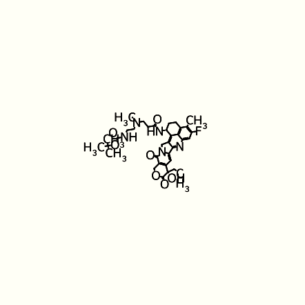 CC[C@@]1(O)C(=O)OCc2c1cc1n(c2=O)Cc2c-1nc1cc(F)c(C)c3c1c2[C@@H](NC(=O)CCN(C)CCNC(=O)OC(C)(C)C)CC3